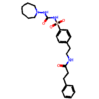 O=C(CCc1ccccc1)NCCc1ccc(S(=O)(=O)NC(=O)NN2CCCCCC2)cc1